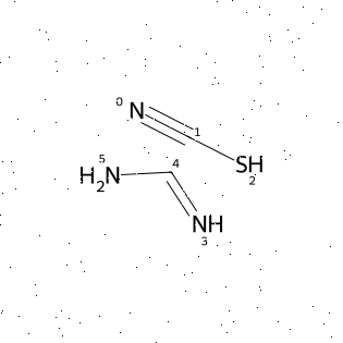 N#CS.N=CN